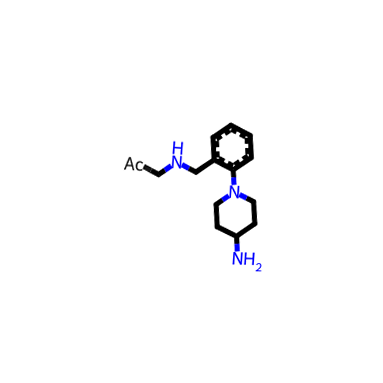 CC(=O)CNCc1ccccc1N1CCC(N)CC1